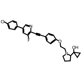 OC1(C2CCCN2CCOc2ccc(C#Cc3ncc(-c4ccc(Cl)cc4)cc3F)cc2)CC1